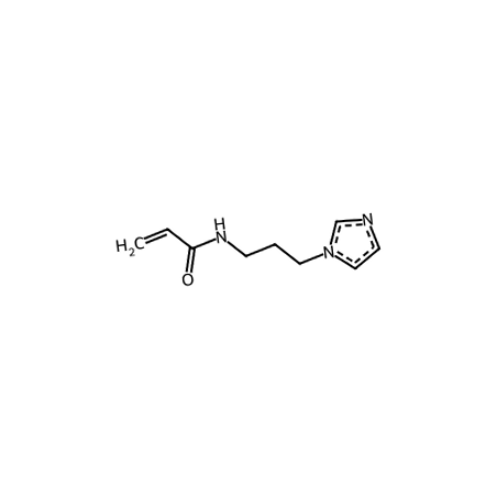 C=CC(=O)NCCCn1ccnc1